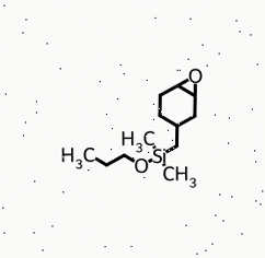 CCCO[Si](C)(C)CC1CCC2OC2C1